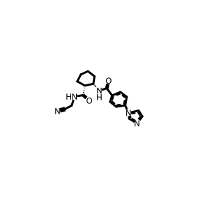 N#CCNC(=O)[C@@H]1CCCC[C@@H]1NC(=O)c1ccc(-n2ccnc2)cc1